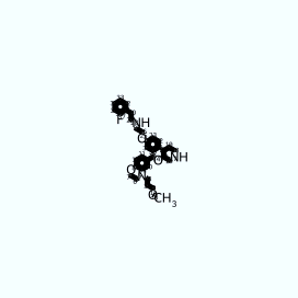 COCCCN1CCOc2ccc(CO[C@H]3CNCC[C@@H]3c3ccc(OCCNCCc4ccccc4F)cc3)cc21